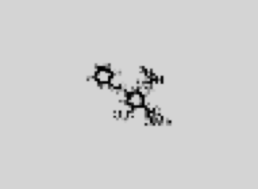 [2H]C([2H])([2H])Oc1cc(C(=O)OC)c([N+](=O)[O-])cc1OCc1ccccc1